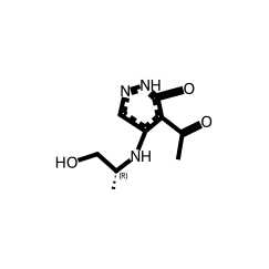 CC(=O)c1c(N[C@H](C)CO)cn[nH]c1=O